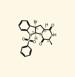 C[C@@H]1NC(=O)[C@@H]2C[C@]3(Br)c4ccccc4N(S(=O)(=O)c4ccccc4)[C@@H]3N2C1=O